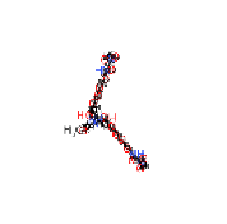 COc1ccc(-c2nc(-c3ccc(OCCOCCOCCOCCNC(=O)CCN4C(=O)C=CC4=O)cc3O)nc(-c3ccc(OCCOCCOCCOCCNC(=O)CCN4C(=O)C=CC4=O)cc3O)n2)cc1